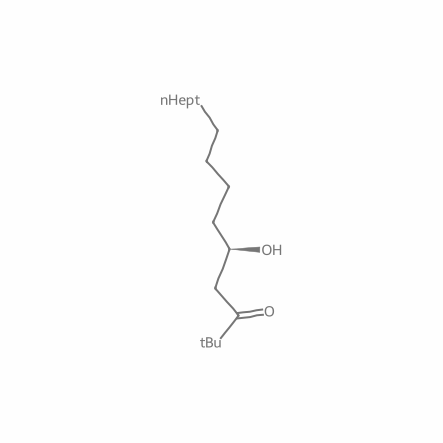 CCCCCCCCCCC[C@@H](O)CC(=O)C(C)(C)C